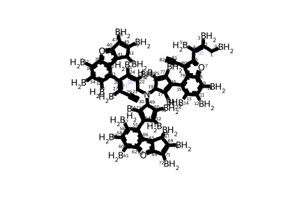 BC/C(B)=C(/B)c1oc2c(B)c(B)c(B)c(C3=C(B)C(N(C/C(B)=C(B)\C(=C(\B)C#C)c4c(B)c(B)c(B)c5oc6c(c45)C(B)C(B)=C6B)C4C(B)=C(B)C(c5c(B)c(B)c(B)c6oc7c(c56)C(B)C(B)=C7B)=C4B)C(B)=C3B)c2c1C#C